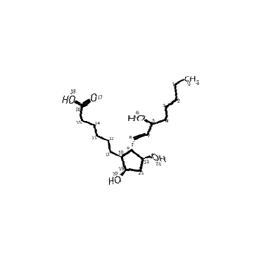 CCCCCC(O)C=C[C@H]1[C@H](CCCCCC(=O)O)[C@H](O)C[C@@H]1O